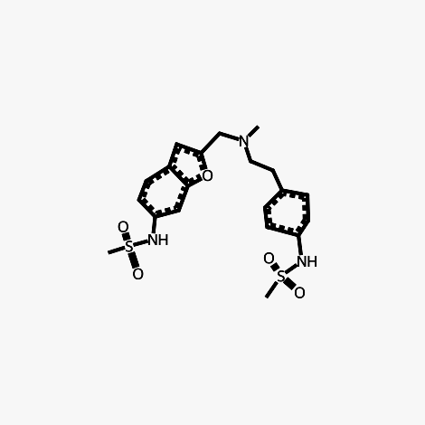 CN(CCc1ccc(NS(C)(=O)=O)cc1)Cc1cc2ccc(NS(C)(=O)=O)cc2o1